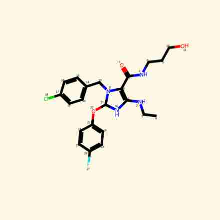 CCNC1=C(C(=O)NCCCO)N(Cc2ccc(Cl)cc2)C(Oc2ccc(F)cc2)N1